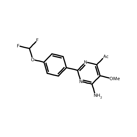 COc1c(N)nc(-c2ccc(OC(F)F)cc2)nc1C(C)=O